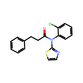 O=C(CCc1ccccc1)N(c1nccs1)c1ccccc1Cl